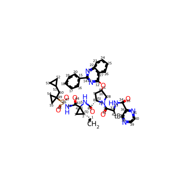 C=C[C@@H]1C[C@]1(NC(=O)[C@@H]1C[C@@H](Oc2nc(-c3ccccc3)nc3ccccc23)CN1C(=O)C(NC(=O)c1cnccn1)C(C)(C)C)C(=O)NS(=O)(=O)C1(CC2CC2)CC1